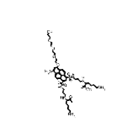 CC(=O)C(CCCCN)NCCCN(C)S(=O)(=O)c1cc(S(=O)(=O)N(C)CCCNC(CCCCN)C(=O)O)c2ccc3c(OCCOCCOCCOCCO)cc(N)c4ccc1c2c43